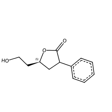 O=C1O[C@H](CCO)CC1c1ccccc1